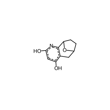 Oc1cc(O)c2c(n1)C1CCC(C2)O1